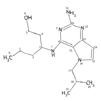 CCCC(CCO)Nc1nc(N)nc2ccn(CC(C)C)c12